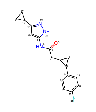 O=C(CC1CC1c1ccc(F)cc1)Nc1cc(C2CC2)n[nH]1